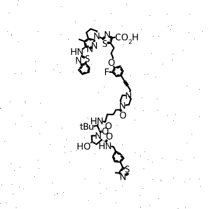 Cc1ncsc1-c1ccc(CNC(=O)[C@@H]2C[C@@H](O)CN2C(=O)C(NC(=O)CCCC(=O)N2CCN(CC#Cc3ccc(OCCCc4sc(N5CCCc6c5nnc(Nc5nc7ccccc7s5)c6C)nc4C(=O)O)c(F)c3)CC2)C(C)(C)C)cc1